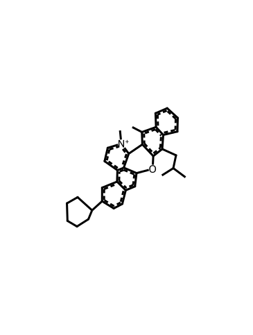 Cc1c2c(c(CC(C)C)c3ccccc13)Oc1cc3ccc(C4CCCCC4)cc3c3cc[n+](C)c-2c13